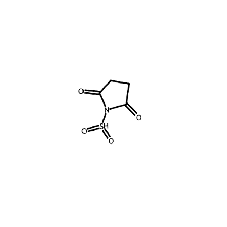 O=C1CCC(=O)N1[SH](=O)=O